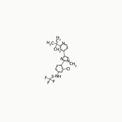 Cn1cc(-c2ccnc(C(C)(C)C)c2)nc1-c1ccc(NSC(F)(F)F)cc1Cl